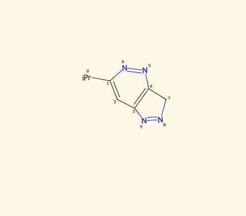 CC(C)c1cc2c(nn1)CN=N2